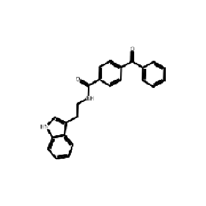 O=C(NCCc1c[nH]c2ccccc12)c1ccc(C(=O)c2ccccc2)cc1